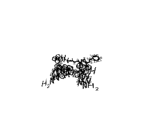 C=CCCC(=O)N(C)C(CCc1ccccc1)C(=O)O[C@H]1[C@@H](O)[C@H](n2cnc3c(N)ncnc32)O[C@H]1COP(=O)(O)O[C@H]1[C@@H](O)[C@H](n2ccc(N)nc2=O)O[C@@H]1COP(=O)(O)O